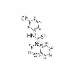 S=C(Nc1cccc(Cl)c1)N1C=COc2ccccc21